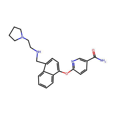 NC(=O)c1ccc(Oc2ccc(CNCCN3CCCC3)c3ccccc23)nc1